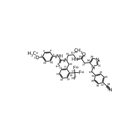 COc1ccc(NC(=S)N(Cc2ccccc2C(F)(F)F)C[C@H](C)NC(=O)Cc2cncn2Cc2ccc(C#N)cc2)cc1